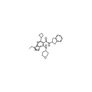 CCn1ncc2c(NC3CCOCC3)c(C(=O)NC3Cc4ccccc4C3)c(C3CCC3)nc21